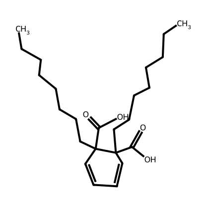 CCCCCCCCC1(C(=O)O)C=CC=CC1(CCCCCCCC)C(=O)O